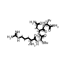 CC[C@H](C)[C@H](NC(=O)[C@@H](N)CCCNC(=N)N)C(=O)N[C@@H](CC(N)=O)C(=O)N[C@H](C(N)=O)C(C)C